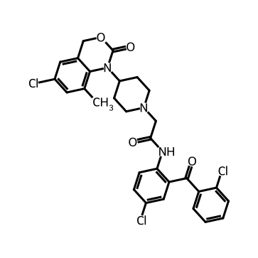 Cc1cc(Cl)cc2c1N(C1CCN(CC(=O)Nc3ccc(Cl)cc3C(=O)c3ccccc3Cl)CC1)C(=O)OC2